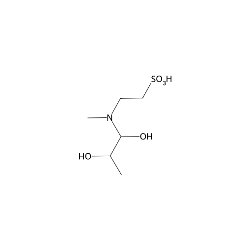 CC(O)C(O)N(C)CCS(=O)(=O)O